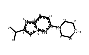 CC(C)c1cn2nc(N3CCOCC3)ccc2n1